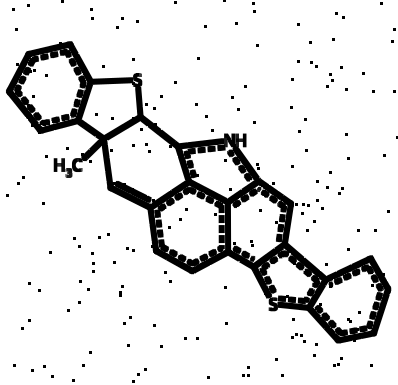 CC12C=c3ccc4c5sc6ccccc6c5cc5[nH]c(c3c54)C1Sc1ccccc12